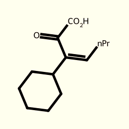 CCCC=C(C(=O)C(=O)O)C1CCCCC1